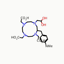 CNc1ccc(CC2CN(CC(O)O)CCN(CC(=O)O)CCN(CC(=O)O)CCN2CC(=O)O)cc1